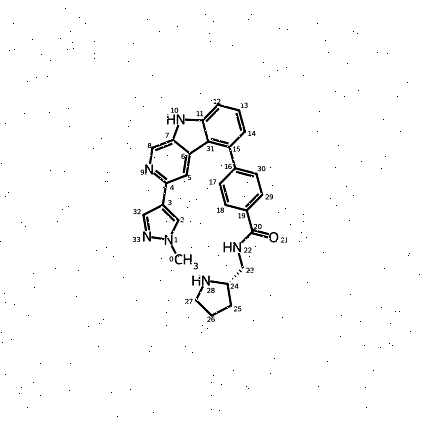 Cn1cc(-c2cc3c(cn2)[nH]c2cccc(-c4ccc(C(=O)NC[C@@H]5CCCN5)cc4)c23)cn1